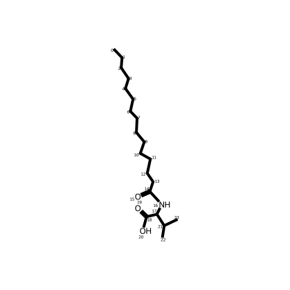 CCCCCCCCCCCCCCC(=O)NC(C(=O)O)C(C)C